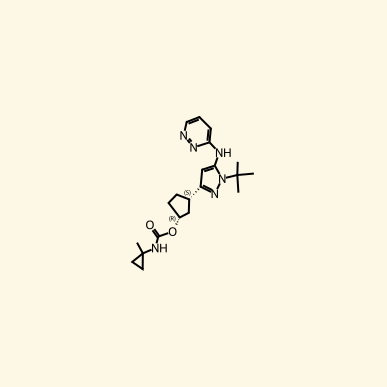 CC1(NC(=O)O[C@@H]2CC[C@H](c3cc(Nc4cccnn4)n(C(C)(C)C)n3)C2)CC1